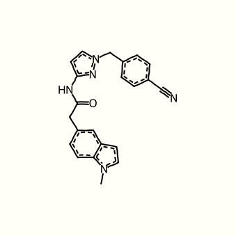 Cn1ccc2cc(CC(=O)Nc3ccn(Cc4ccc(C#N)cc4)n3)ccc21